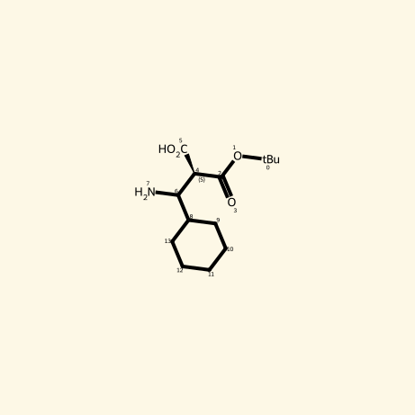 CC(C)(C)OC(=O)[C@H](C(=O)O)C(N)C1CCCCC1